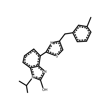 Cc1cccc(Cc2csc(-c3cccc4c3nc(O)n4C(C)C)n2)c1